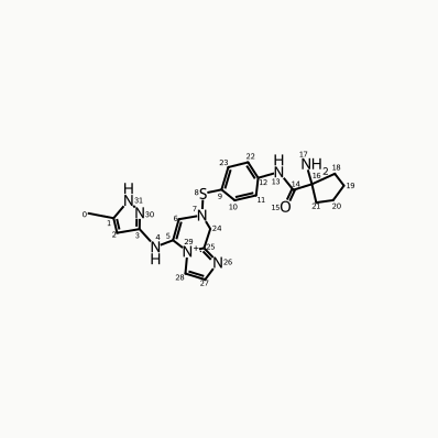 Cc1cc(NC2=CN(Sc3ccc(NC(=O)C4(N)CCCC4)cc3)CC3=NC=C[N+]23)n[nH]1